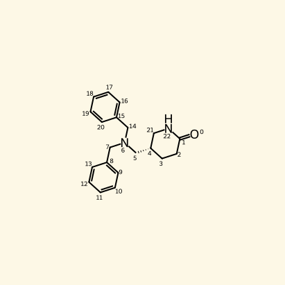 O=C1CC[C@H](CN(Cc2ccccc2)Cc2ccccc2)CN1